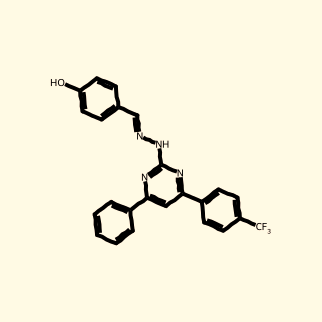 Oc1ccc(C=NNc2nc(-c3ccccc3)cc(-c3ccc(C(F)(F)F)cc3)n2)cc1